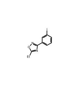 CCc1nc(-c2cccc(I)c2)no1